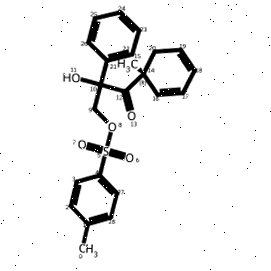 Cc1ccc(S(=O)(=O)OCC(O)(C(=O)[C@@]2(C)C=CC=CC2)c2ccccc2)cc1